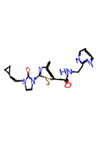 Cc1nc(N2CCN(CC3CC3)C2=O)sc1C(=O)NCc1ncccn1